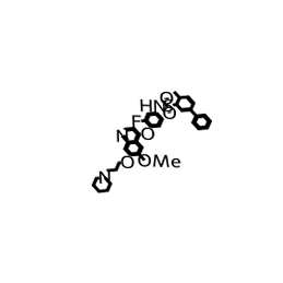 COc1cc2c(Oc3ccc(NS(=O)(=O)C4C=C(c5ccccc5)C=CC4C)cc3F)ccnc2cc1OCCCN1CCCCC1